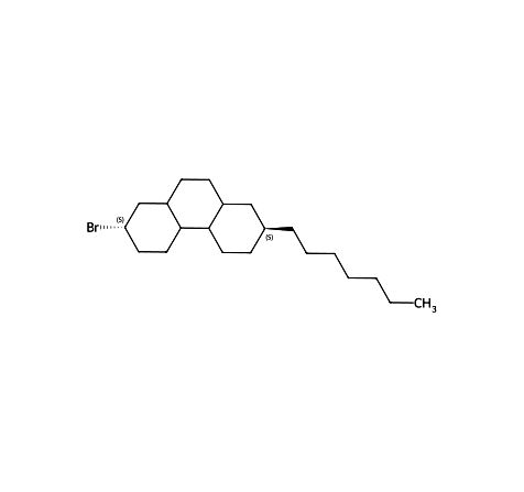 CCCCCCC[C@H]1CCC2C(CCC3C[C@@H](Br)CCC32)C1